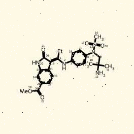 CCC(Nc1ccc(N(CC(C)(C)N)S(C)(=O)=O)cc1)=C1C(=O)Nc2cc(C(=O)OC)ccc21